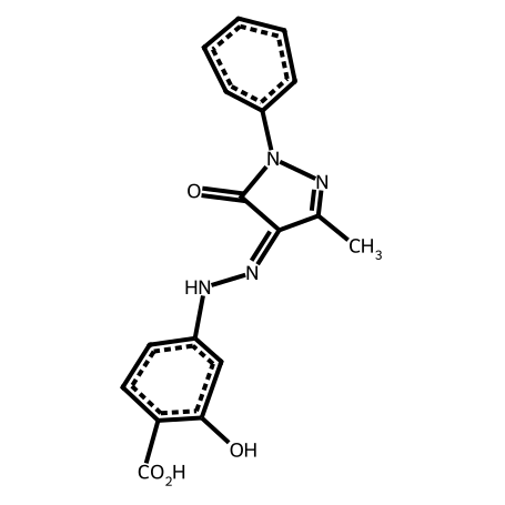 CC1=NN(c2ccccc2)C(=O)/C1=N\Nc1ccc(C(=O)O)c(O)c1